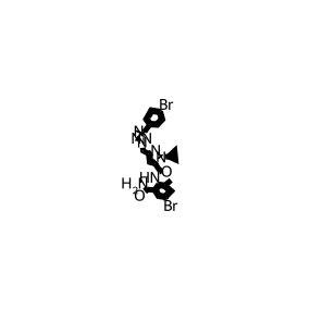 Cc1cc(Br)cc(C(N)=O)c1NC(=O)c1cc(Cn2nnc(-c3ccc(Br)cc3)n2)nn1C1CC1